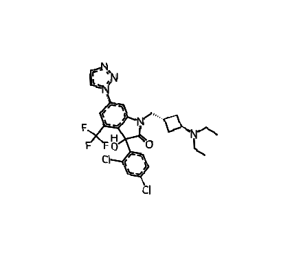 CCN(CC)[C@H]1C[C@H](CN2C(=O)C(O)(c3ccc(Cl)cc3Cl)c3c2cc(-n2ccnn2)cc3C(F)(F)F)C1